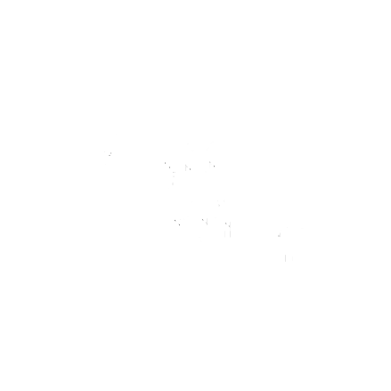 CCO[Si](CCCNC(=O)n1c(SSc2nc3ccccc3n2C(=O)NCCC[Si](OCC)(OCC)OCC)nc2ccccc21)(OCC)OCC